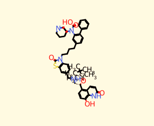 CC(C)(C)[Si](C)(C)O[C@@H](CNCc1ccc2c(c1)sc(=O)n2CCCCc1ccc(-c2ccccc2)c(N(C(=O)O)C2CN3CCC2CC3)c1)c1ccc(O)c2[nH]c(=O)ccc12